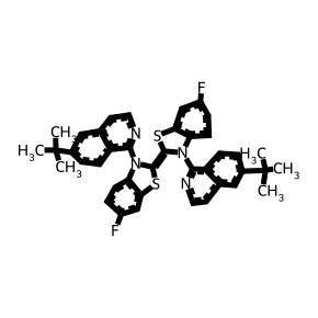 CC(C)(C)c1ccc2c(N3/C(=C4\Sc5cc(F)ccc5N4c4nccc5cc(C(C)(C)C)ccc45)Sc4cc(F)ccc43)nccc2c1